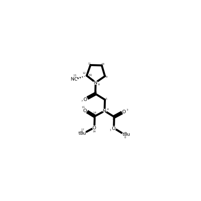 CC(C)(C)OC(=O)N(CC(=O)N1CCC[C@H]1C#N)C(=O)OC(C)(C)C